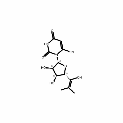 CC(C)=C(O)[C@H]1O[C@@H](n2c(C#N)cc(=O)[nH]c2=O)[C@H](O)[C@@H]1O